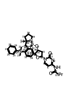 CC[C@H]1O[C@@H](n2ccc(NC(=O)C(C)C)nc2=O)C[C@H]1O[P@]1O[C@H](C[Si](C)(c2ccccc2)c2ccccc2)[C@@H]2CCCN21